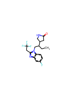 CCC(Cn1c(CC(F)(F)F)nc2cc(F)ccc21)C1CNC(=O)C1